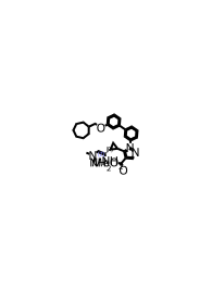 COC(=O)c1cnn(-c2cccc(-c3cccc(OCC4CCCCCC4)c3)c2)c1C1C[C@H]1/C(N)=C/N(C)N